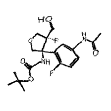 CC(=O)Nc1ccc(F)c([C@]2(NC(=O)OC(C)(C)C)COC[C@@]2(F)CO)c1